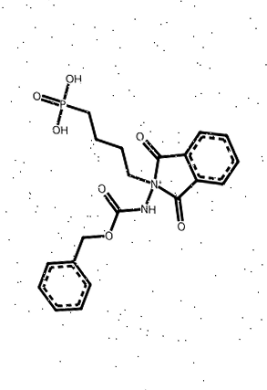 O=C(N[N+]1(CCCCP(=O)(O)O)C(=O)c2ccccc2C1=O)OCc1ccccc1